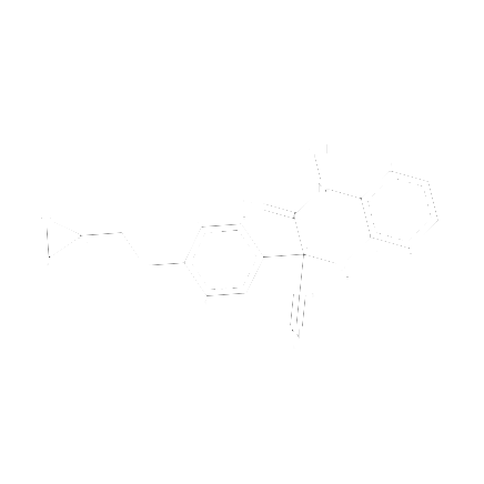 CN1C(=O)C(C#N)(c2ccc(OCC3CO3)cc2)Sc2ccccc21